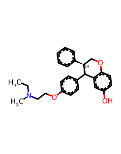 CCN(C)CCOc1ccc(C2c3cc(O)ccc3OC[C@@H]2c2ccccc2)cc1